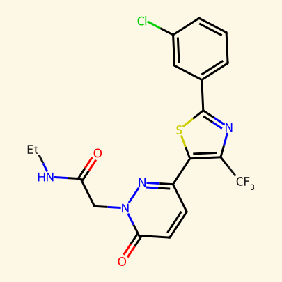 CCNC(=O)Cn1nc(-c2sc(-c3cccc(Cl)c3)nc2C(F)(F)F)ccc1=O